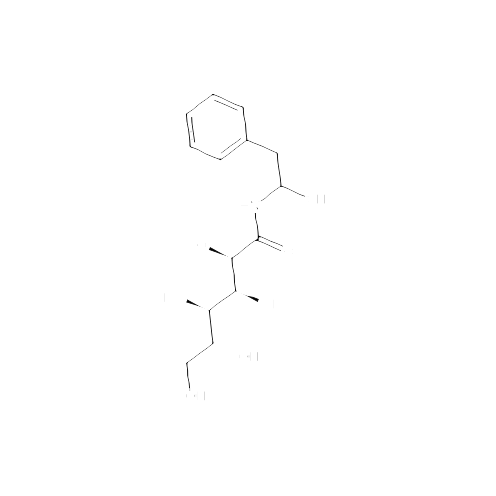 CC(Cc1ccccc1)NC(=O)[C@H](O)[C@@H](O)[C@H](O)[C@H](O)CO